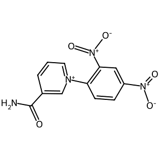 NC(=O)c1ccc[n+](-c2ccc([N+](=O)[O-])cc2[N+](=O)[O-])c1